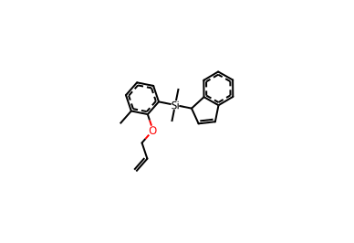 C=CCOc1c(C)cccc1[Si](C)(C)C1C=Cc2ccccc21